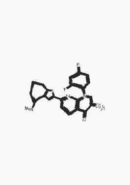 CNC1CCCc2sc(-c3ccc4c(=O)c(C(=O)O)cn(-c5ccc(F)cc5F)c4n3)cc21